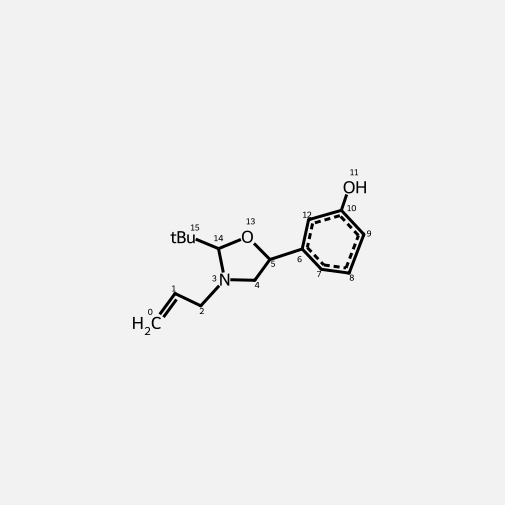 C=CCN1CC(c2cccc(O)c2)OC1C(C)(C)C